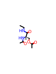 CCNC(=O)[C@@H](COC(C)=O)NC(C)=O